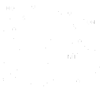 O=c1ccc2cc(S(=O)(=O)O)cc(S(=O)(=O)O)c2[nH]1